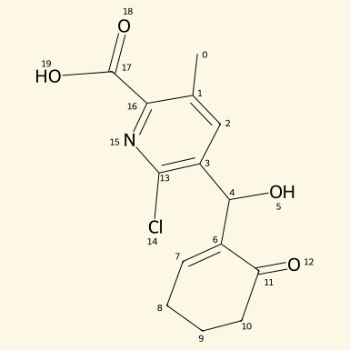 Cc1cc(C(O)C2=CCCCC2=O)c(Cl)nc1C(=O)O